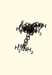 C=C(CN)NCCOCCOCCOCCOCCC(=O)N[C@@H](CC(N)=O)C(=O)NC(CCN(C(=O)CO)C(c1cc(-c2cc(F)ccc2F)cn1Cc1ccccc1)C(C)(C)C)C(=O)NCCC(=O)N[C@H](CCC(=O)O)C(=O)O